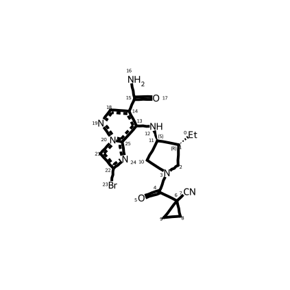 CC[C@@H]1CN(C(=O)C2(C#N)CC2)C[C@H]1Nc1c(C(N)=O)cnn2cc(Br)nc12